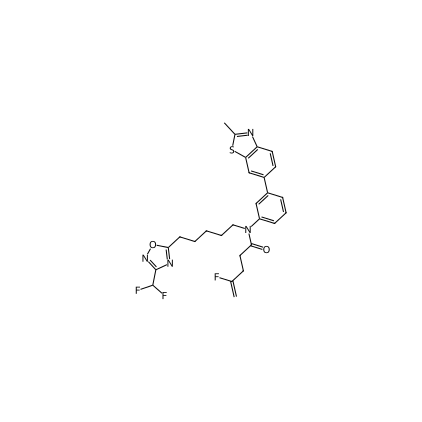 C=C(F)CCC(=O)N(CCCCCc1nc(C(F)F)no1)c1cccc(-c2ccc3nc(C)sc3c2)c1